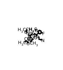 COc1ccc(F)cc1C(Cn1cc(CNOC(C)C)c(=O)n(C[C@H](C)NC(=O)C(C)C)c1=O)OCCC#N